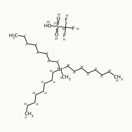 CCCCCCCC[N+](C)(CCCCCCCC)CCCCCCCC.O=S(=O)(O)C(F)(F)F